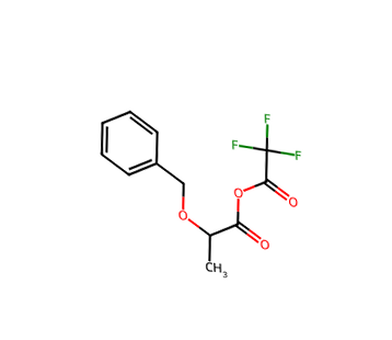 CC(OCc1ccccc1)C(=O)OC(=O)C(F)(F)F